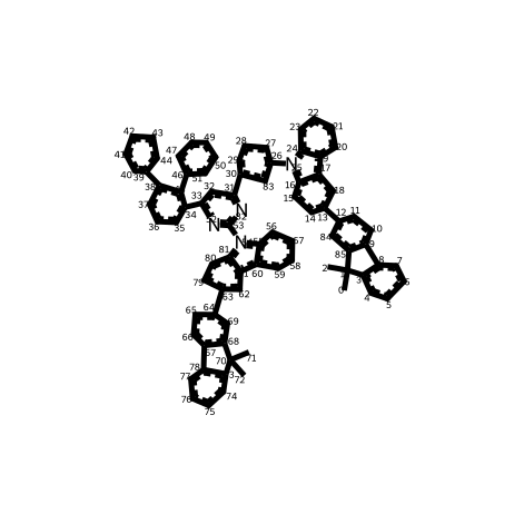 CC1(C)c2ccccc2-c2ccc(-c3ccc4c(c3)c3ccccc3n4-c3cccc(-c4cc(-c5cccc(-c6ccccc6)c5-c5ccccc5)nc(-n5c6ccccc6c6cc(-c7ccc8c(c7)C(C)(C)c7ccccc7-8)ccc65)n4)c3)cc21